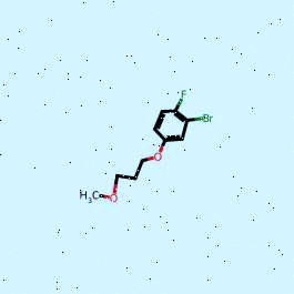 COCCCOc1ccc(F)c(Br)c1